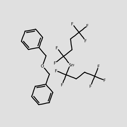 FC(F)(F)CC[C](F)(F)[Sn][C](F)(F)CCC(F)(F)F.c1ccc(COCc2ccccc2)cc1